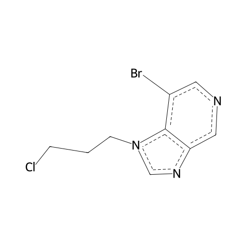 ClCCCn1cnc2cncc(Br)c21